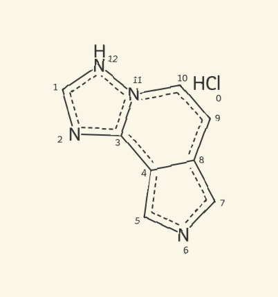 Cl.c1nc2c3cncc-3ccn2[nH]1